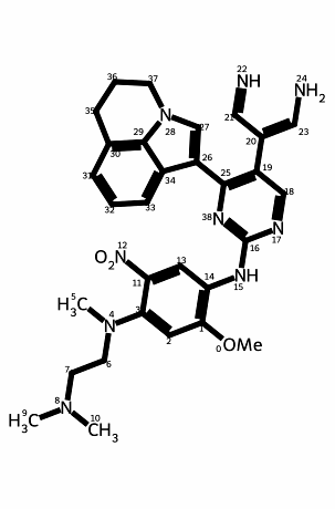 COc1cc(N(C)CCN(C)C)c([N+](=O)[O-])cc1Nc1ncc(/C(C=N)=C/N)c(-c2cn3c4c(cccc24)CCC3)n1